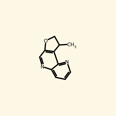 CC1COc2cnc3cccnc3c21